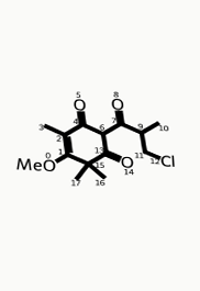 COC1=C(C)C(=O)C(C(=O)C(C)CCl)C(=O)C1(C)C